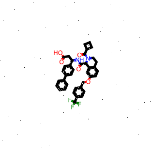 O=C(O)CC(NC(=O)C1c2cc(OCc3ccc(C(F)(F)F)cc3)ccc2CCN1C(=O)C1CCC1)c1ccc(-c2ccccc2)cc1